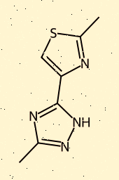 Cc1n[nH]c(-c2csc(C)n2)n1